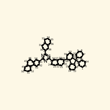 c1ccc(C2(c3ccccc3)c3ccccc3-c3c(-c4ccc5ccc(-c6nc(-c7ccc8ccccc8c7)nc(-c7ccc8c(ccc9ccccc98)c7)n6)cc5c4)cccc32)cc1